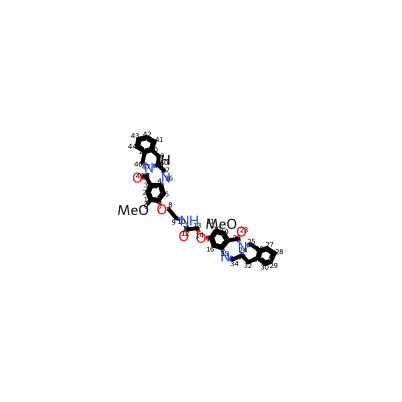 COc1cc2c(cc1OCCNC(=O)COc1cc3c(cc1OC)C(=O)N1Cc4ccccc4CC1C=N3)N=C[C@@H]1Cc3ccccc3CN1C2=O